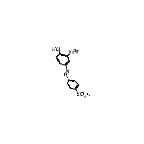 CCCc1cc(N=Nc2ccc(S(=O)(=O)O)cc2)ccc1O